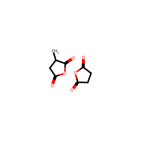 CC1CC(=O)OC1=O.O=C1CCC(=O)O1